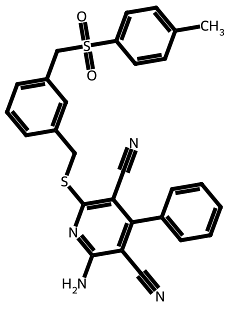 Cc1ccc(S(=O)(=O)Cc2cccc(CSc3nc(N)c(C#N)c(-c4ccccc4)c3C#N)c2)cc1